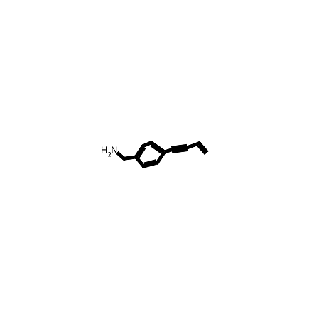 C=CC#Cc1ccc(CN)cc1